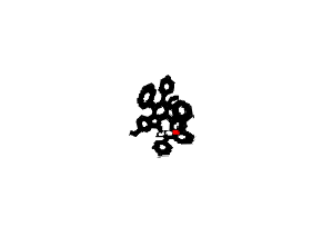 CCc1ccc2c(c1)=[C]([Zr]=[C](c1ccccc1)c1ccccc1)C1=C(C3=CC=CC3)C(CC)(c3ccccc3)C(c3ccccc3)=C(c3ccccc3)C=21